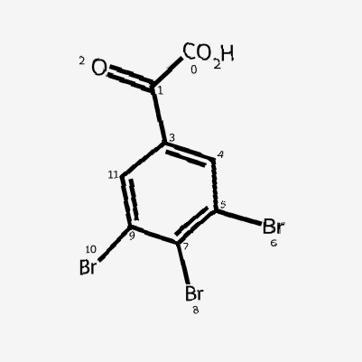 O=C(O)C(=O)c1cc(Br)c(Br)c(Br)c1